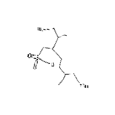 CC(CCC(CS(=O)(=O)Cl)C(C)CC(C)(C)C)CC(C)(C)C